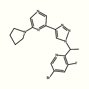 CC(c1ncc(Br)cc1F)n1cc(-c2cncc(N3CCCC3)n2)nn1